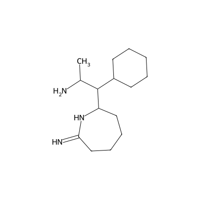 CC(N)C(C1CCCCC1)C1CCCCC(=N)N1